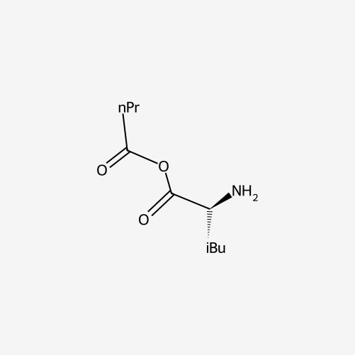 CCCC(=O)OC(=O)[C@@H](N)[C@@H](C)CC